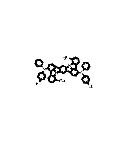 CCc1ccc(N(c2ccccc2)c2ccc3c4cc5c(cc4n4c6c(C(C)(C)C)cccc6c2c34)c2ccc(N(c3ccccc3)c3ccc(CC)cc3)c3c4cccc(C(C)(C)C)c4n5c23)cc1